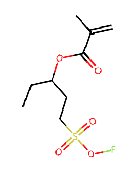 C=C(C)C(=O)OC(CC)CCS(=O)(=O)OF